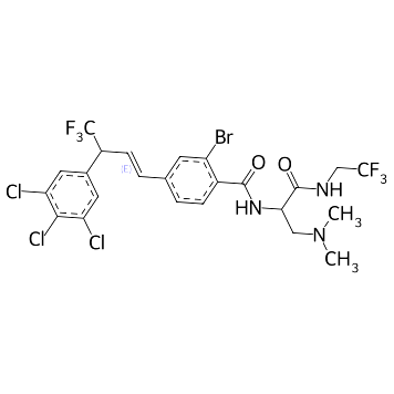 CN(C)CC(NC(=O)c1ccc(/C=C/C(c2cc(Cl)c(Cl)c(Cl)c2)C(F)(F)F)cc1Br)C(=O)NCC(F)(F)F